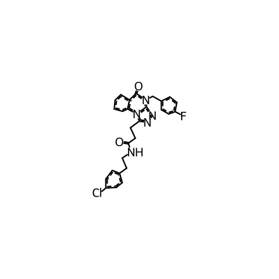 O=C(CCc1nnc2n(Cc3ccc(F)cc3)c(=O)c3ccccc3n12)NCCc1ccc(Cl)cc1